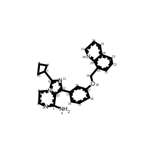 Nc1nccn2c(C3CCC3)nc(-c3cccc(OCc4cccc5cccnc45)c3)c12